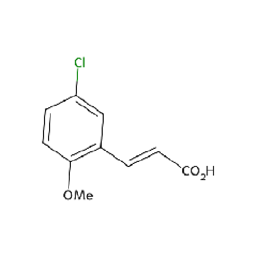 COc1ccc(Cl)cc1C=CC(=O)O